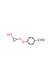 O=Cc1ccc(OCC2CC2O)cc1